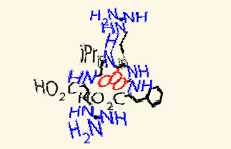 CC(C)[C@H](NC(=O)[C@H](CCCNC(=N)N)NC(=O)NC(Cc1ccccc1)C(=O)O)C(=O)NC(CCCNC(=N)N)C(=O)O